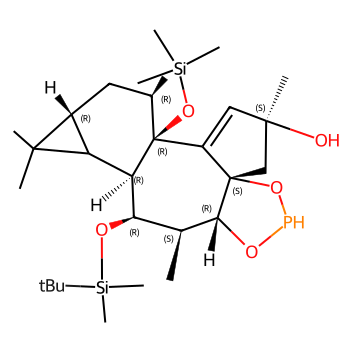 C[C@H]1[C@@H](O[Si](C)(C)C(C)(C)C)[C@H]2C3[C@@H](C[C@@H](C)[C@]2(O[Si](C)(C)C)C2=C[C@@](C)(O)C[C@]24OPO[C@H]14)C3(C)C